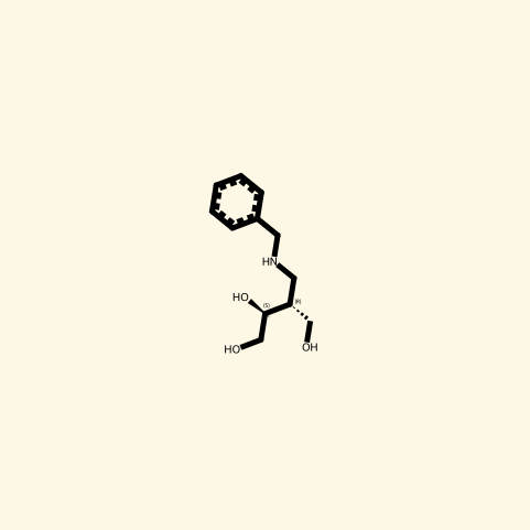 OC[C@@H](CNCc1ccccc1)[C@H](O)CO